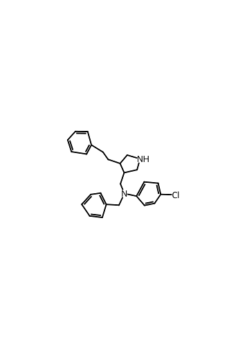 Clc1ccc(N(Cc2ccccc2)CC2CNCC2CCc2ccccc2)cc1